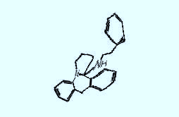 c1ccc(CCNC23CCCN2c2ccccc2Cc2ccccc23)cc1